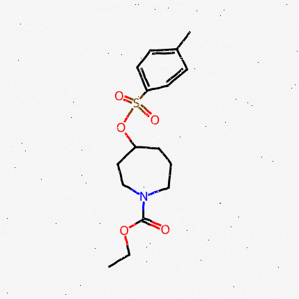 CCOC(=O)N1CCCC(OS(=O)(=O)c2ccc(C)cc2)CC1